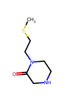 CSCCN1CCNCC1=O